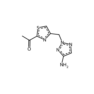 CC(=O)c1nc(Cn2ncc(N)n2)cs1